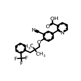 CC(C)(COc1ccc(-c2ncccc2C(=O)O)cc1C#N)Cc1ccccc1C(F)(F)F